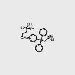 CCCCC(CC)C[B-](c1ccccc1)(c1ccccc1)c1ccccc1.CC[N+](C)(CC)CCOC